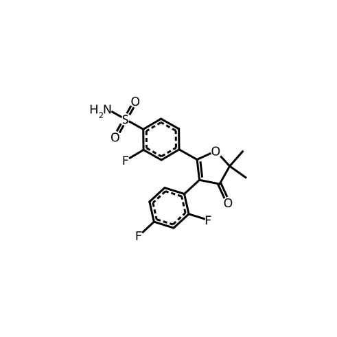 CC1(C)OC(c2ccc(S(N)(=O)=O)c(F)c2)=C(c2ccc(F)cc2F)C1=O